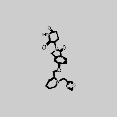 O=C1CCC(N2Cc3cc(OCC4CCCCN4Cc4cocn4)ccc3C2=O)C(=O)N1